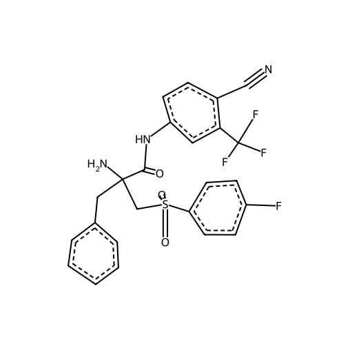 N#Cc1ccc(NC(=O)C(N)(Cc2ccccc2)CS(=O)(=O)c2ccc(F)cc2)cc1C(F)(F)F